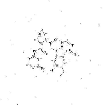 COc1cc2c3c(N)ncnc3n(CC(=O)N3C4C[C@]4(C)C[C@H]3C(=O)Nc3cccc(Br)n3)c2cc1F